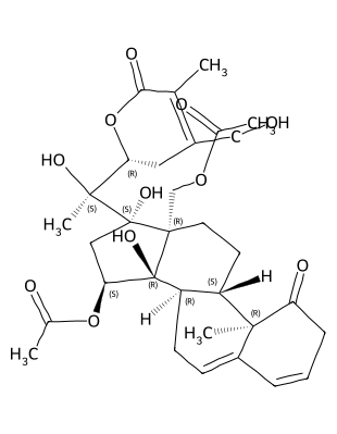 CC(=O)OC[C@]12CC[C@H]3[C@@H](CC=C4C=CCC(=O)[C@@]43C)[C@]1(O)[C@@H](OC(C)=O)C[C@@]2(O)[C@@](C)(O)[C@H]1CC(CO)=C(C)C(=O)O1